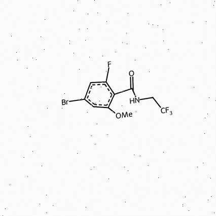 COc1cc(Br)cc(F)c1C(=O)NCC(F)(F)F